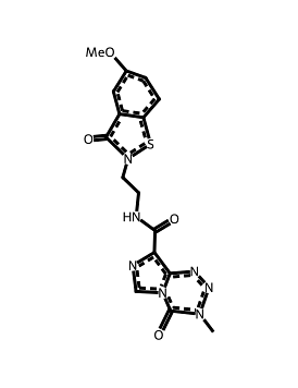 COc1ccc2sn(CCNC(=O)c3ncn4c(=O)n(C)nnc34)c(=O)c2c1